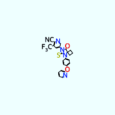 N#Cc1ncc(N2C(=O)C3(CCC3)N(c3ccc(Oc4ccccn4)cc3)C2=S)cc1C(F)(F)F